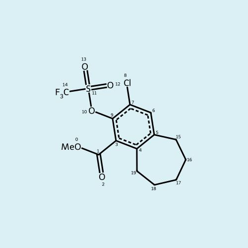 COC(=O)c1c2c(cc(Cl)c1OS(=O)(=O)C(F)(F)F)CCCCC2